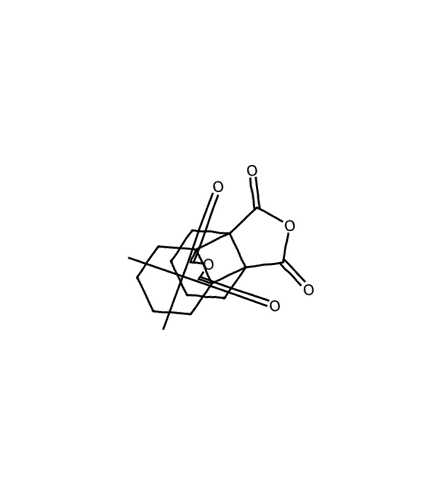 O=C1OC(=O)C23CCCCC12C12CCCCC31C(=O)OC2=O